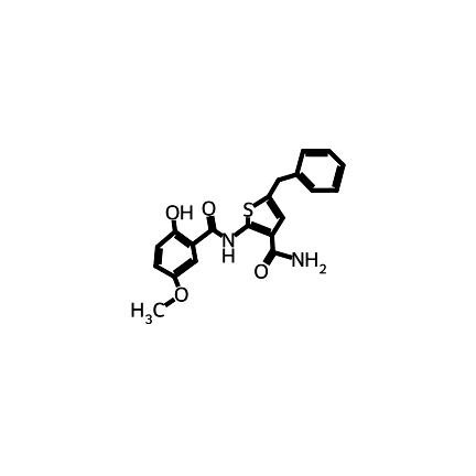 COc1ccc(O)c(C(=O)Nc2sc(Cc3ccccc3)cc2C(N)=O)c1